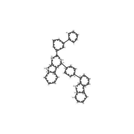 c1ccc(-c2cccc(-c3nc(-c4ccc(-c5cccc6c5sc5ccccc56)cc4)c4c(n3)sc3ccccc34)c2)cc1